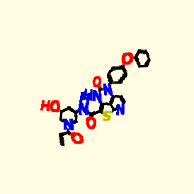 C=CC(=O)N1C[C@H](O)C[C@@H](NC(=O)c2sc3nccc4c3c2NC(=O)N4c2ccc(Oc3ccccc3)cc2)C1